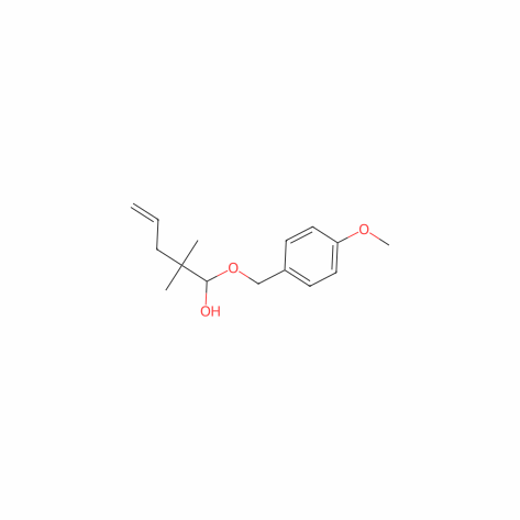 C=CCC(C)(C)C(O)OCc1ccc(OC)cc1